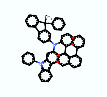 CC1(c2ccccc2)c2ccccc2-c2ccc(N(c3ccc4c5ccccc5n(-c5ccccc5)c4c3)c3ccccc3-c3cccc4cccc(-c5ccccc5)c34)cc21